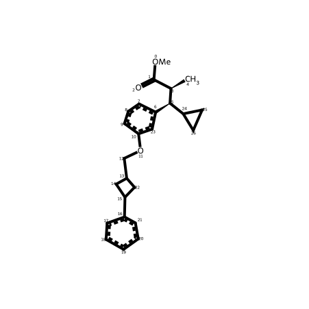 COC(=O)[C@@H](C)[C@H](c1cccc(OCC2CC(c3ccccc3)C2)c1)C1CC1